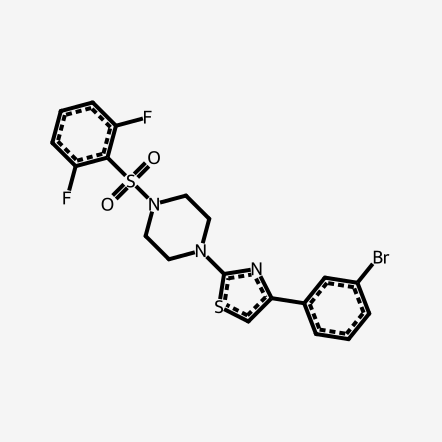 O=S(=O)(c1c(F)cccc1F)N1CCN(c2nc(-c3cccc(Br)c3)cs2)CC1